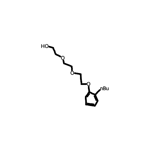 CCCCc1ccccc1OCCOCCOCCO